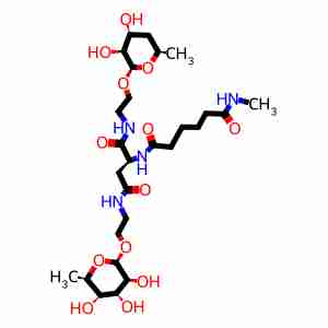 CNC(=O)CCCCC(=O)N[C@@H](CC(=O)NCCO[C@@H]1O[C@@H](C)[C@@H](O)[C@@H](O)[C@@H]1O)C(=O)NCCO[C@@H]1O[C@@H](C)C[C@@H](O)[C@@H]1O